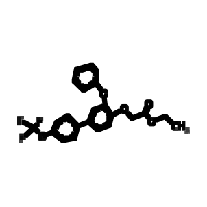 CCOC(=O)COc1ccc(-c2ccc(OC(F)(F)F)cc2)cc1Oc1ccccc1